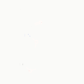 CCOc1ccc2ccccc2c1CONC(=O)C1CC1